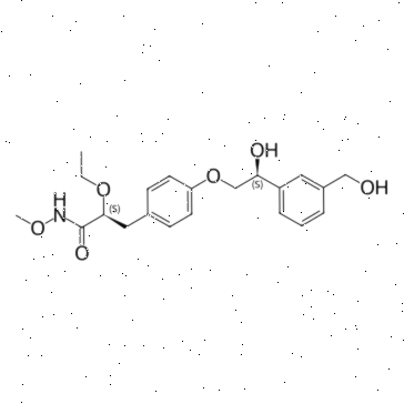 CCO[C@@H](Cc1ccc(OC[C@@H](O)c2cccc(CO)c2)cc1)C(=O)NOC